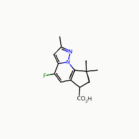 Cc1cc2c(F)cc3c(n2n1)C(C)(C)CC3C(=O)O